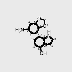 Nc1ccc2c(c1)OCO2.Oc1cccc2[nH]ccc12